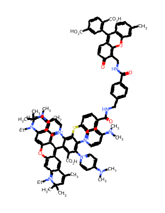 CCN1c2cc3c(cc2C(C)=CC1(C)C)C(c1c(C(=O)O)c(-[n+]2ccc(N(C)C)cc2)c(-[n+]2ccc(N(C)C)cc2)c(Sc2ccc(C(=O)NCc4ccc(C(=O)NCc5c6oc7cc(C)ccc7c(-c7cc(C(=O)O)ccc7C(=O)O)c-6ccc5=O)cc4)cc2)c1-[n+]1ccc(N(C)C)cc1)=c1cc2c(cc1O3)=[N+](CC)C(C)(C)C=C2C